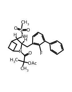 CC(=O)OC(C)(C)C(=O)N1C2CC(C2)[C@H](NS(C)(=O)=O)[C@@H]1Cc1cccc(-c2ccccc2)c1F